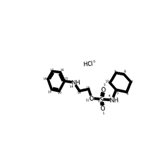 Cl.O=S(=O)(NC1CCCCC1)OCCNc1ccccc1